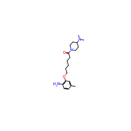 Cc1ccc(N)c(OCCCCCC(=O)N2CCC(N(C)C)CC2)c1